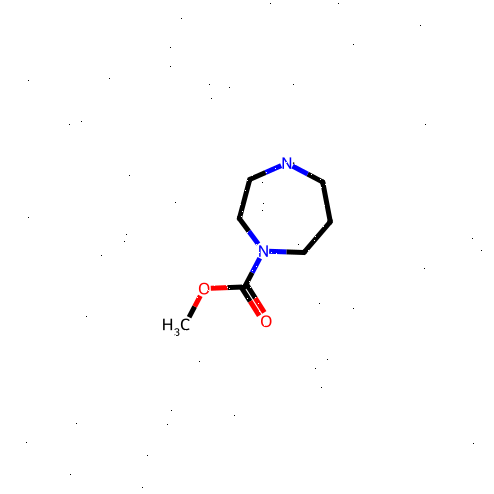 COC(=O)N1CCC[N]CC1